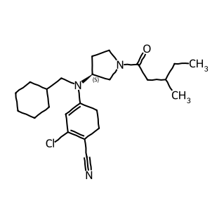 CCC(C)CC(=O)N1CC[C@H](N(CC2CCCCC2)C2=CC(Cl)=C(C#N)CC2)C1